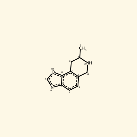 CC1Cc2c(ccc3ncoc23)CN1